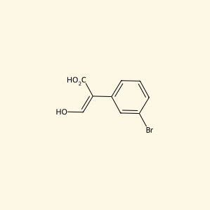 O=C(O)C(=CO)c1cccc(Br)c1